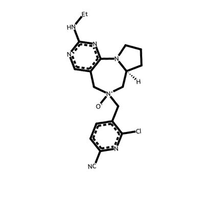 CCNc1ncc2c(n1)N1CCC[C@H]1C[N+]([O-])(Cc1ccc(C#N)nc1Cl)C2